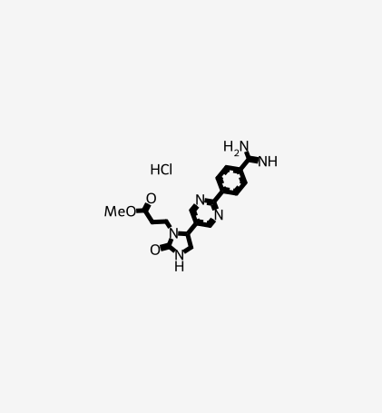 COC(=O)CCN1C(=O)NCC1c1cnc(-c2ccc(C(=N)N)cc2)nc1.Cl